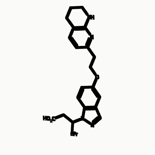 CCCC(CC(=O)O)n1ncc2cc(OCCc3ccc4c(n3)NCCC4)ccc21